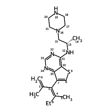 C=C(C)/C(=C(/C)CC)c1csc2c(N[C@@H](C)CN3CCNCC3)ncnc12